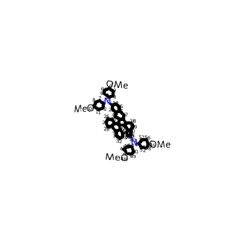 COc1ccc(N(c2ccc(OC)cc2)c2ccc3cc4c(cc3c2)C2(c3ccccc3-c3ccccc32)c2c-4ccc3cc(N(c4ccc(OC)cc4)c4ccc(OC)cc4)ccc23)cc1